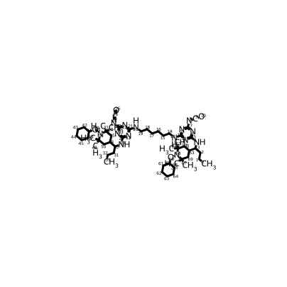 CCCC(Nc1nc(N=C=O)nc(NCCCCCCNc2nc(N=C=O)nc(NC(CCC)C3CC(C)(C)N(OC4CCCCC4)C(C)(C)C3)n2)n1)C1CC(C)(C)N(OC2CCCCC2)C(C)(C)C1